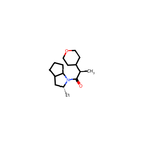 CC[C@@H]1CC2CCCC2N1C(=O)C(C)C1CCOCC1